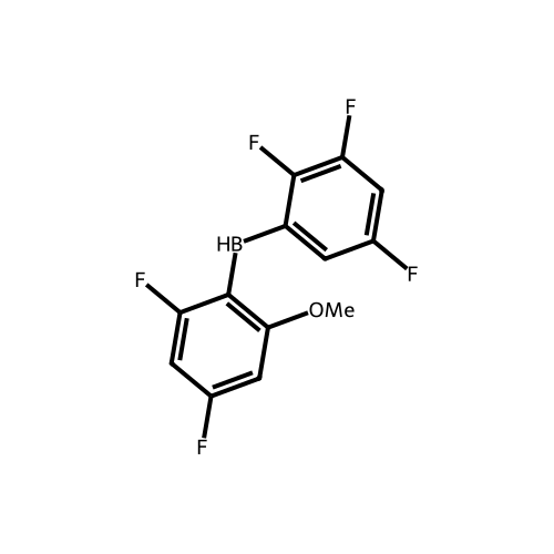 COc1cc(F)cc(F)c1Bc1cc(F)cc(F)c1F